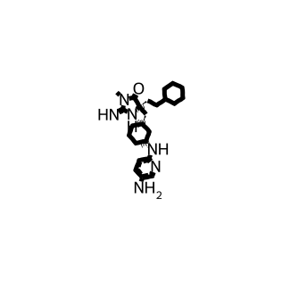 CN1C(=N)N[C@](CCC2CCCCC2)(C[C@H]2CCC[C@@H](Nc3ccc(N)cn3)C2)C1=O